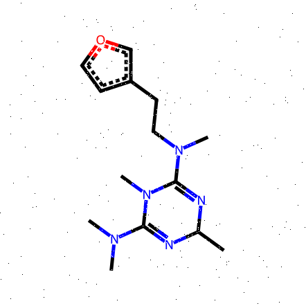 CC1N=C(N(C)C)N(C)C(N(C)CCc2ccoc2)=N1